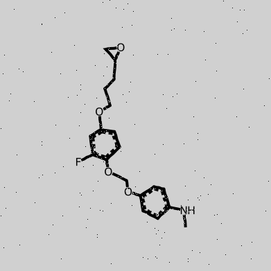 CNc1ccc(OCOc2ccc(OCCCC3CO3)cc2F)cc1